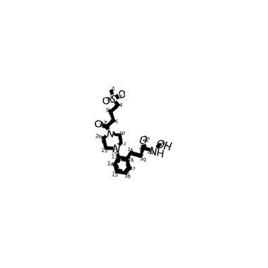 CS(=O)(=O)CCCC(=O)N1CCN(c2ccccc2/C=C/C(=O)NO)CC1